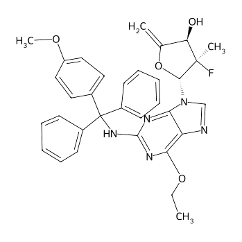 C=C1O[C@@H](n2cnc3c(OCC)nc(NC(c4ccccc4)(c4ccccc4)c4ccc(OC)cc4)nc32)[C@](C)(F)[C@@H]1O